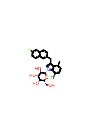 Cc1ccc(Cl)c2c1c(Cc1ccc3cc(F)ccc3c1)cn2[C@@H]1O[C@H](CO)[C@@H](O)[C@H](O)[C@H]1O